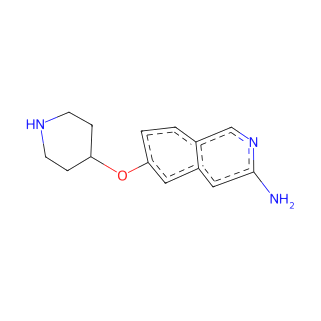 Nc1cc2cc(OC3CCNCC3)ccc2cn1